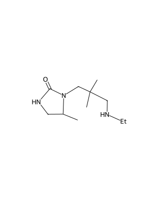 CCNCC(C)(C)CN1C(=O)NCC1C